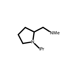 CNCC1CCCN1C(C)C